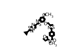 COc1cc(OCc2csc(-c3ccc(C(=O)N(C)C4CCOC4)cc3)n2)c2sc(-c3cn4nc(C5CC5)sc4n3)nc2c1